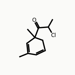 CC1=CC(C)(C(=O)C(C)Cl)CC=C1